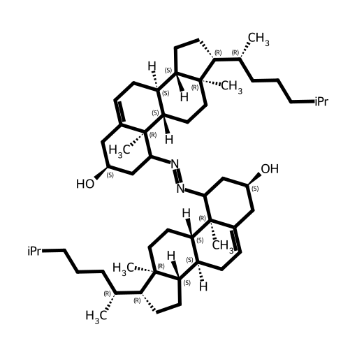 CC(C)CCC[C@@H](C)[C@H]1CC[C@H]2[C@@H]3CC=C4C[C@H](O)CC(N=NC5C[C@@H](O)CC6=CC[C@H]7[C@@H]8CC[C@H]([C@H](C)CCCC(C)C)[C@@]8(C)CC[C@@H]7[C@]65C)[C@]4(C)[C@H]3CC[C@]12C